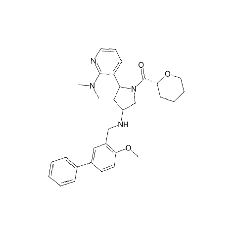 COc1ccc(-c2ccccc2)cc1CNC1CC(c2cccnc2N(C)C)N(C(=O)[C@H]2CCCCO2)C1